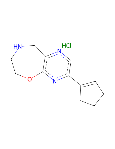 C1=C(c2cnc3c(n2)OCCNC3)CCC1.Cl